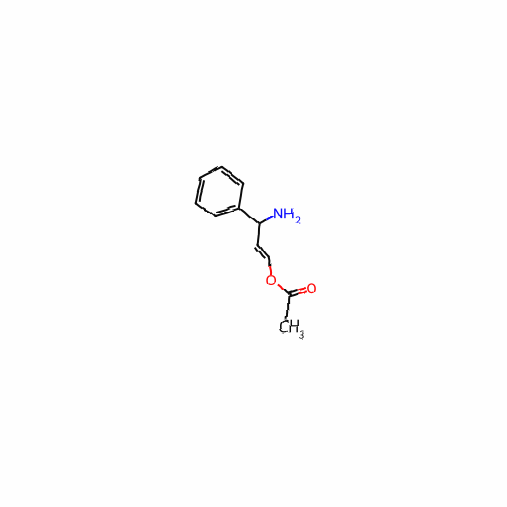 CC(=O)OC=CC(N)c1ccccc1